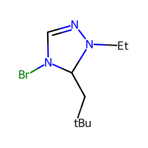 CCN1N=CN(Br)C1CC(C)(C)C